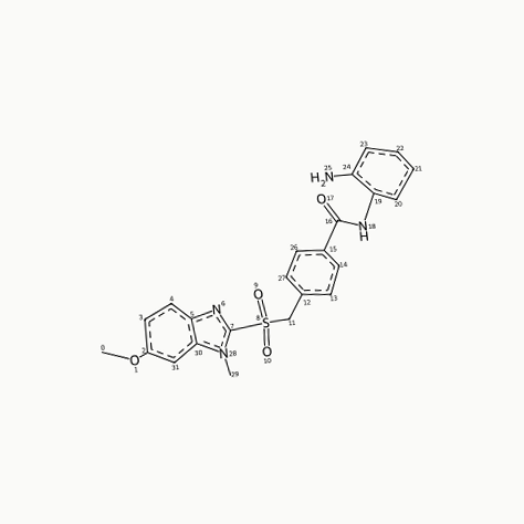 COc1ccc2nc(S(=O)(=O)Cc3ccc(C(=O)Nc4ccccc4N)cc3)n(C)c2c1